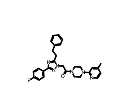 Cc1ccnc(N2CCN(C(=O)Cn3nc(-c4ccc(F)cc4)nc3CCc3ccccc3)CC2)c1